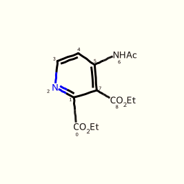 CCOC(=O)c1nccc(NC(C)=O)c1C(=O)OCC